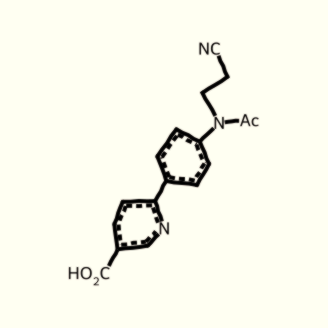 CC(=O)N(CCC#N)c1ccc(-c2ccc(C(=O)O)cn2)cc1